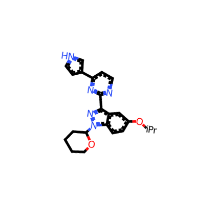 CC(C)Oc1ccc2c(c1)c(-c1nccc(-c3cc[nH]c3)n1)nn2C1CCCCO1